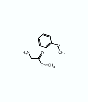 COC(=O)CN.COc1ccccc1